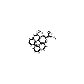 Cc1cc2ccccc2c2c1op(N(C)C)oc1ccc3ccccc3c12